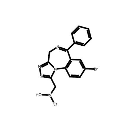 CCN(O)Cc1nnc2n1-c1ccc(Br)cc1C(c1ccccc1)=NC2